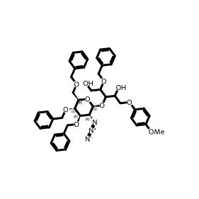 COc1ccc(OCC(O)C(O[C@@H]2O[C@H](COCc3ccccc3)[C@@H](OCc3ccccc3)[C@H](OCc3ccccc3)[C@H]2N=[N+]=[N-])C(CO)OCc2ccccc2)cc1